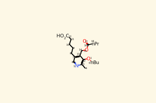 CCCCOc1c(C)ncc(CCCCC(=O)O)c1COC(=O)CCC